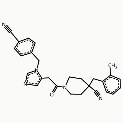 Cc1ccccc1CC1(C#N)CCN(C(=O)Cc2cncn2Cc2ccc(C#N)cc2)CC1